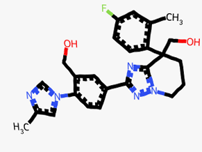 Cc1cn(-c2ccc(-c3nc4n(n3)CCCC4(CO)c3ccc(F)cc3C)cc2CO)cn1